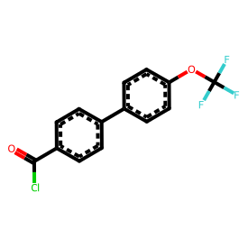 O=C(Cl)c1ccc(-c2ccc(OC(F)(F)F)cc2)cc1